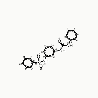 O=C(Nc1ccccc1)Nc1cccc(NS(=O)(=O)c2ccccc2)c1